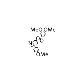 COc1ccc(C23CC=C(OC(=O)c4ccc(OC)c(OC)c4)CC2N(C)CC3)cc1C